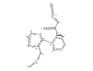 O=C=NC(=O)c1ccccc1-c1ccccc1N=C=O